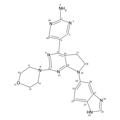 Nc1ncc(-c2nc(N3CCOCC3)nc3c2CCN3c2ccc3[nH]cnc3c2)cn1